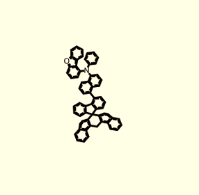 c1ccc(N(c2cccc3c(-c4cccc5c4-c4ccccc4C54c5ccc6ccccc6c5Cc5c4ccc4ccccc54)cccc23)c2cccc3oc4ccccc4c23)cc1